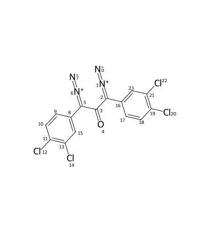 [N-]=[N+]=C(C(=O)C(=[N+]=[N-])c1ccc(Cl)c(Cl)c1)c1ccc(Cl)c(Cl)c1